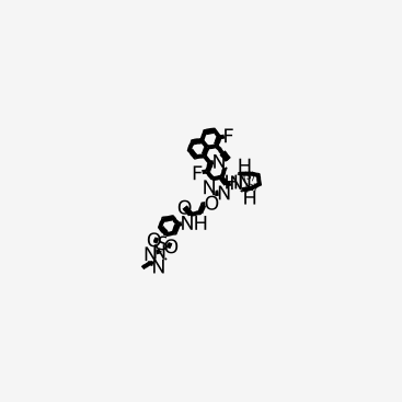 C#Cc1c(F)ccc2cccc(-c3ncc4c(N5C[C@H]6CC[C@@H](C5)N6)nc(OC=CC(=O)Nc5cccc(S(=O)(=O)n6cnc(C)n6)c5)nc4c3F)c12